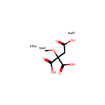 COC(CC(=O)O)(C(=O)O)C(=O)O.[NaH].[NaH].[NaH]